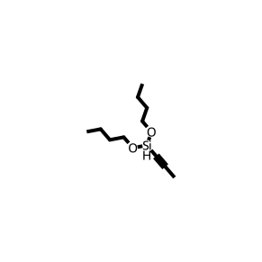 CC#C[SiH](OCCCC)OCCCC